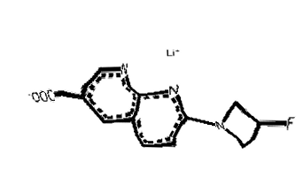 O=C([O-])c1cnc2nc(N3CC(F)C3)ccc2c1.[Li+]